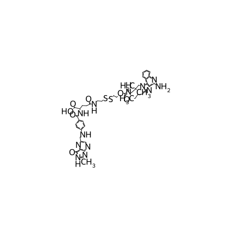 CCCCc1nc2c(N)nc3ccccc3c2n1CC(C)(C)CNC(=O)OCCSSCCNC(=O)CCC(NC(=O)c1ccc(NCc2cnc3nc(C)[nH]c(=O)c3n2)cc1)C(=O)O